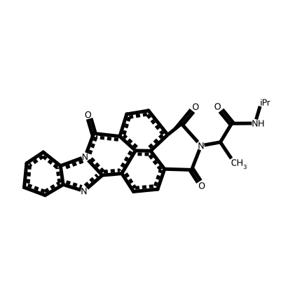 CC(C)NC(=O)C(C)N1C(=O)c2ccc3c(=O)n4c5ccccc5nc4c4ccc(c2c34)C1=O